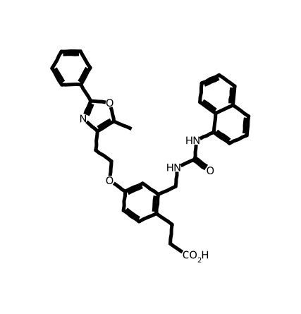 Cc1oc(-c2ccccc2)nc1CCOc1ccc(CCC(=O)O)c(CNC(=O)Nc2cccc3ccccc23)c1